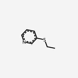 CCSc1[c]nccc1